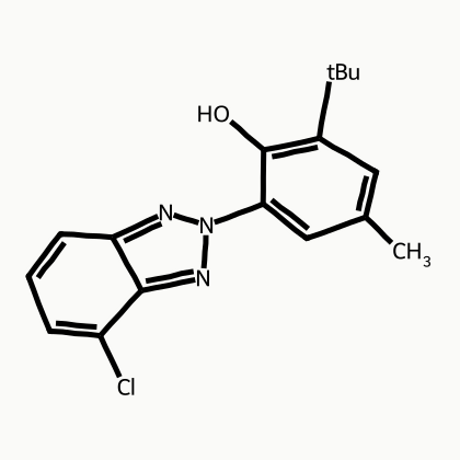 Cc1cc(-n2nc3cccc(Cl)c3n2)c(O)c(C(C)(C)C)c1